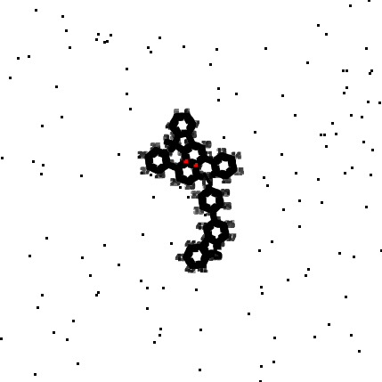 CC1(C)c2ccccc2-c2cc(-c3ccccc3N(c3ccc(-c4ccccc4)cc3)c3ccc(-c4ccc5sc6ccccc6c5c4)cc3)ccc21